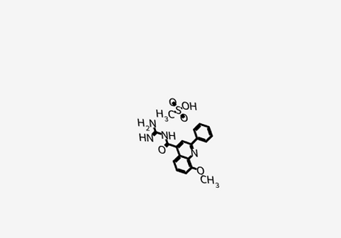 COc1cccc2c(C(=O)NC(=N)N)cc(-c3ccccc3)nc12.CS(=O)(=O)O